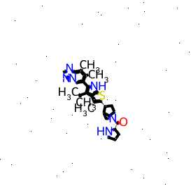 Cc1c(-c2[nH]c3sc([C@@H]4CC5CC4CN5C(=O)[C@@H]4CCCN4)c(C)c3c2C(C)C)cn2ncnc2c1C